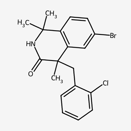 CC1(C)NC(=O)C(C)(Cc2ccccc2Cl)c2cc(Br)ccc21